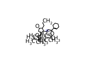 C=CCC1C(=O)CC(O[Si](C)(C)C(C)(C)C)C1/C=C/[C@H](O[Si](C)(C)C(C)(C)C)C1=CCCCC1